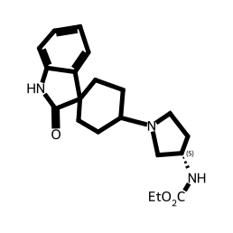 CCOC(=O)N[C@H]1CCN(C2CCC3(CC2)C(=O)Nc2ccccc23)C1